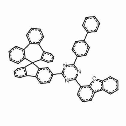 c1ccc(-c2ccc(-c3nc(-c4ccc5c(c4)C4(c6ccccc6-c6ccccc6-c6ccccc64)c4ccccc4-5)nc(-c4cccc5c4oc4ccccc45)n3)cc2)cc1